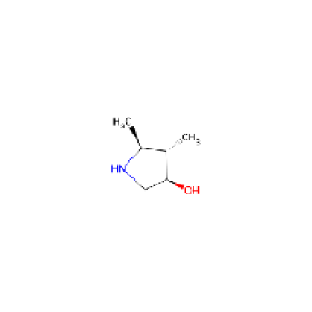 C[C@H]1[C@H](C)NC[C@@H]1O